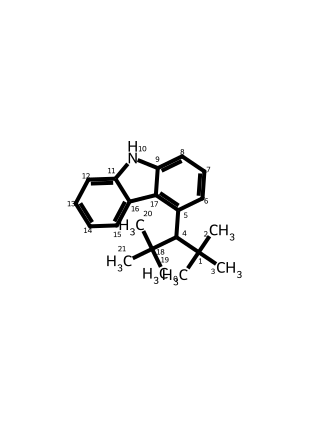 CC(C)(C)C(c1cccc2[nH]c3ccccc3c12)C(C)(C)C